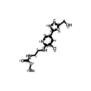 CC(C)(C)OC(=O)NCCNc1ncc(-c2nnc(CO)o2)cc1Cl